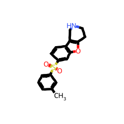 Cc1cccc(S(=O)(=O)c2ccc3c4c(oc3c2)CCNC4)c1